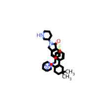 CC1(C)CCC(CN2C3CC2CN(Cc2ccc4c(c2)CN(C2CCCNC2)C4=O)C3)=C(c2ccc(F)cc2)C1